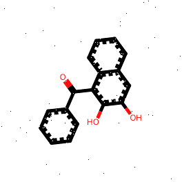 O=C(c1ccccc1)c1c(O)c(O)cc2ccccc12